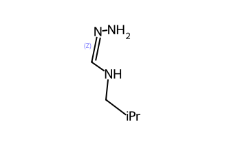 CC(C)CN/C=N\N